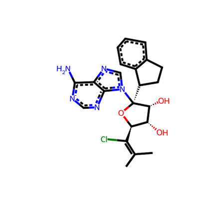 CC(C)=C(Cl)[C@H]1O[C@@](C2CCc3ccccc32)(n2cnc3c(N)ncnc32)[C@H](O)[C@@H]1O